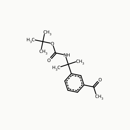 CC(=O)c1cccc(C(C)(C)NC(=O)OC(C)(C)C)c1